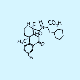 CC(C)c1ccc2c(c1)C(=O)C[C@H]1[C@](C)(C(=O)N[C@@H](CC3CCCCC3)C(=O)O)CCC[C@]21C